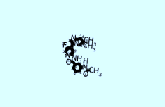 CC(=O)NC1CCCC(C(=O)Nc2cc(-c3cnc4n3CC(C)(C)C4)c(F)cn2)C1